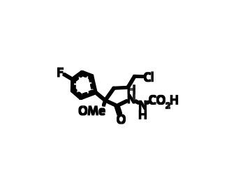 COC(CCCCl)(C(=O)NNC(=O)O)c1ccc(F)cc1